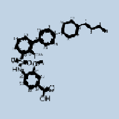 CCCC[C@H]1CC[C@H](c2ccc(-c3cccc(S(=O)(=O)Nc4ccc(C(=O)O)cc4OC)c3F)cc2)CC1